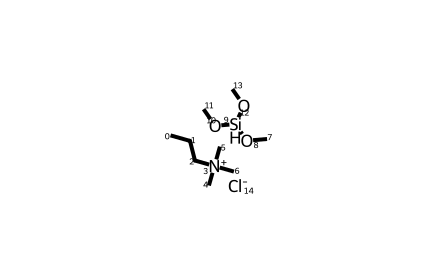 CCC[N+](C)(C)C.CO[SiH](OC)OC.[Cl-]